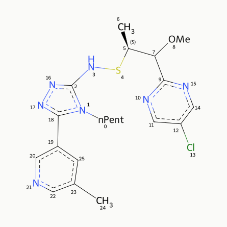 CCCCCn1c(NS[C@@H](C)C(OC)c2ncc(Cl)cn2)nnc1-c1cncc(C)c1